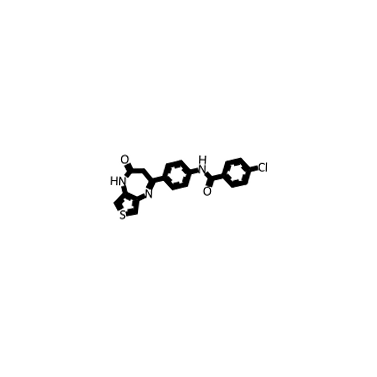 O=C1CC(c2ccc(NC(=O)c3ccc(Cl)cc3)cc2)=Nc2cscc2N1